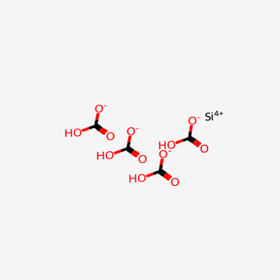 O=C([O-])O.O=C([O-])O.O=C([O-])O.O=C([O-])O.[Si+4]